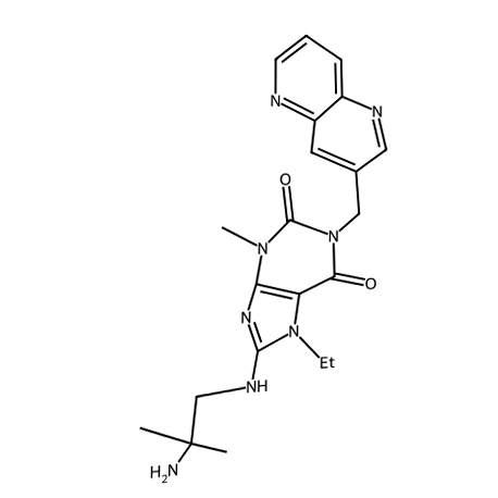 CCn1c(NCC(C)(C)N)nc2c1c(=O)n(Cc1cnc3cccnc3c1)c(=O)n2C